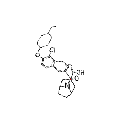 CCC1CCC(Oc2ccc3cc(C(=O)N4C5CCC4CC(C(=O)O)C5)ccc3c2Cl)CC1